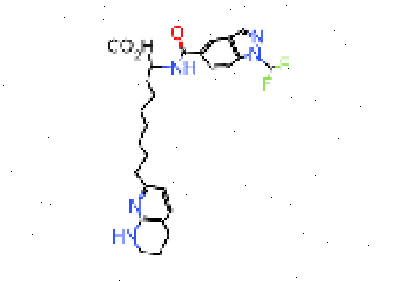 O=C(N[C@@H](CCCCCCCc1ccc2c(n1)NCCC2)C(=O)O)c1ccc2c(cnn2C(F)F)c1